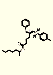 CCCCCC(C)OC(=O)CCC/C(=C\S(=O)(=O)c1ccc(C)cc1)Sc1ccccc1